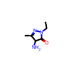 CCN1N=C(C)C(N)C1=O